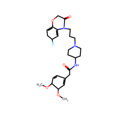 COC1C=CC(CC(=O)NC2CCN(CCCN3C(=O)COC4=CCC(F)C=C43)CC2)=CC1OC